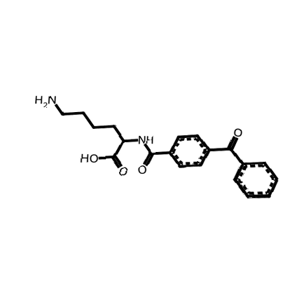 NCCCCC(NC(=O)c1ccc(C(=O)c2ccccc2)cc1)C(=O)O